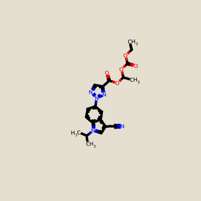 CCOC(=O)OC(C)OC(=O)c1cnn(-c2ccc3c(c2)c(C#N)cn3C(C)C)n1